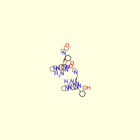 Nc1nnc(-c2ccccc2O)cc1N1CC2CCC(C1)N2c1ccnc(C#CCN2CC(OOc3ccccc3-c3cc(N4CC5CCC(C4)N5c4ccnc(C#CCN5CCC56CCOC6)c4)c(N)nn3)C2)c1